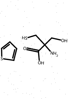 NC(CO)(CS)C(=O)O.c1ccsc1